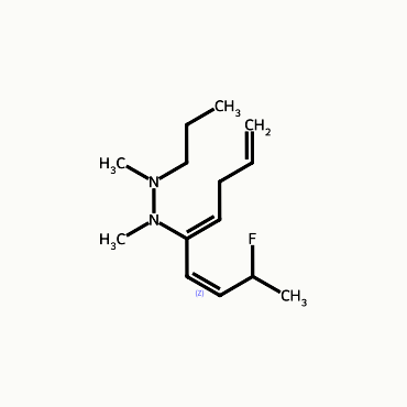 C=CCC=C(/C=C\C(C)F)N(C)N(C)CCC